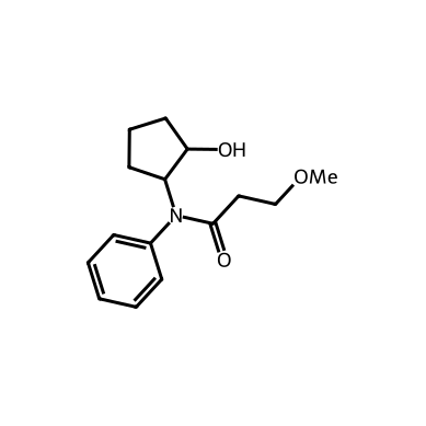 COCCC(=O)N(c1ccccc1)C1CCCC1O